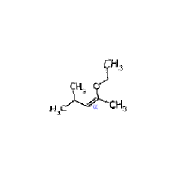 CCO/C(C)=C\C(C)C